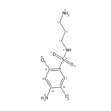 NCCCNS(=O)(=O)c1cc(Cl)c(N)cc1Cl